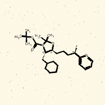 CC(C)(C)OC(=O)N1[C@@H](CC2CCCCC2)[C@H](CCC[C@@H](F)c2ccccn2)OC1(C)C